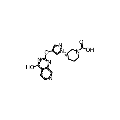 O=C(O)N1CCC[C@H](n2cc(Oc3nc(O)c4ccncc4n3)cn2)C1